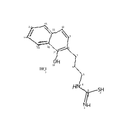 Cl.N=C(S)NCCCc1ccc2ccccc2c1O